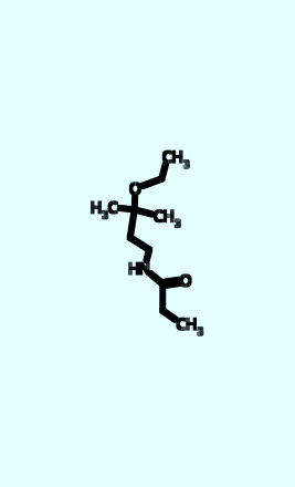 CCOC(C)(C)CCNC(=O)CC